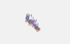 CN1CCN(C(=O)c2cc(Br)c3c(c2)NC(=O)C3=NNC(=O)Cc2ccc3c(c2)CCO3)CC1